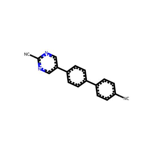 [C-]#[N+]c1ccc(-c2ccc(-c3cnc(C#N)nc3)cc2)cc1